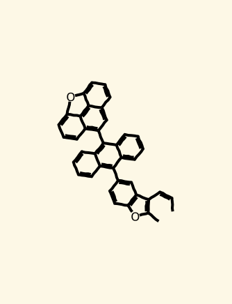 C/C=C\c1c(C)oc2ccc(-c3c4ccccc4c(-c4cc5cccc6oc7cccc4c7c56)c4ccccc34)cc12